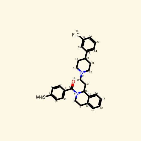 CSc1ccc(C(=O)N2CCc3ccccc3C2CCN2CCC(c3cccc(C(F)(F)F)c3)CC2)cc1